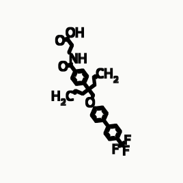 C=CCC(CC=C)(COc1ccc(-c2ccc(C(F)(F)F)cc2)cc1)c1ccc(C(=O)NCCC(=O)O)cc1